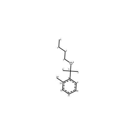 CCCCOC(C)(C)c1ccccc1C